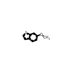 COc1ccc2[c]csc2c1